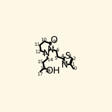 Cc1csc(CCN2C(=O)CCCN2CCC(C)O)n1